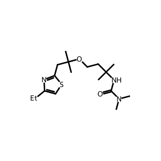 CCc1csc(CC(C)(C)OCCC(C)(C)NC(=O)N(C)C)n1